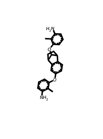 Cc1c(N)cccc1Oc1ccc2c(c1)C1CCC2C1Oc1cccc(N)c1C